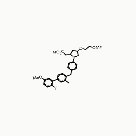 COCCO[C@@H]1C[C@H](CC(=O)O)N(c2ccc(Cc3ccc(-c4cc(OC)ccc4F)cc3C)cc2)C1